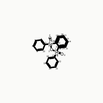 O=[SeH](O[SeH](=O)(c1ccccc1)c1ccccc1)(c1ccccc1)c1ccccc1